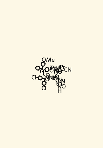 COc1ccc(C(OCCCC(OC(=O)NC[C@H]2O[C@@H](n3cnc4c(=O)[nH]cnc43)C[C@H]2OP(OCCC#N)N(C(C)C)C(C)C)(c2ccc(Cl)cc2)c2ccc(Cl)cc2)(c2ccccc2)c2ccc(OC)cc2)cc1